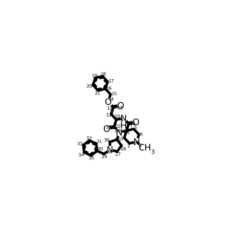 CN1CCC2(CC1)C(=O)NC(CC(=O)OCc1ccccc1)C(=O)N2C1CCN(Cc2ccccc2)C1